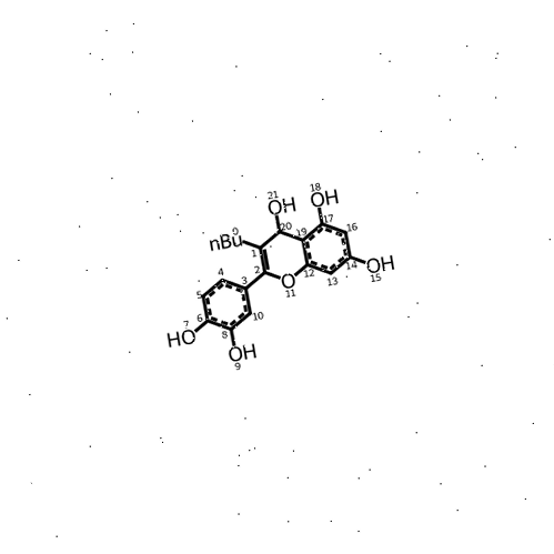 CCCCC1=C(c2ccc(O)c(O)c2)Oc2cc(O)cc(O)c2C1O